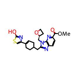 COC(=O)c1ccc2nc(CC3CC=C(c4csc(O)n4)CC3)n(C[C@@H]3CCO3)c2n1